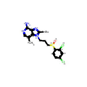 CCCCc1nc2c(N)ncc(C)c2n1CCC[S+]([O-])c1ccc(Cl)cc1Cl